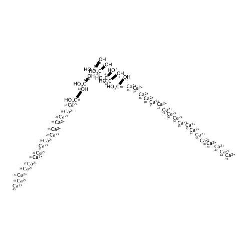 O=C(O)O.O=C(O)O.O=C(O)O.O=C(O)O.O=C(O)O.O=C(O)O.O=C(O)O.[Ca+2].[Ca+2].[Ca+2].[Ca+2].[Ca+2].[Ca+2].[Ca+2].[Ca+2].[Ca+2].[Ca+2].[Ca+2].[Ca+2].[Ca+2].[Ca+2].[Ca+2].[Ca+2].[Ca+2].[Ca+2].[Ca+2].[Ca+2].[Ca+2].[Ca+2].[Ca+2].[Ca+2].[Ca+2].[Ca+2].[Ca+2].[Ca+2].[Ca+2].[Ca+2].[Ca+2].[Ca+2].[Ca+2]